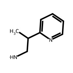 CC(C[NH])c1ccccn1